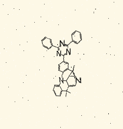 CC1(C)C2=CN=C3C4C2N(c2ccccc21)c1ccc(-c2nc(-c5ccccc5)nc(-c5ccccc5)n2)cc1C34C